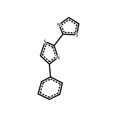 c1ccc(-c2csc(-c3nccs3)n2)cc1